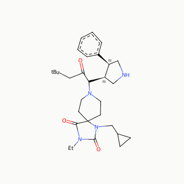 CCN1C(=O)N(CC2CC2)C2(CCN(C(C(=O)CC(C)(C)C)[C@@H]3CNC[C@@H]3c3ccccc3)CC2)C1=O